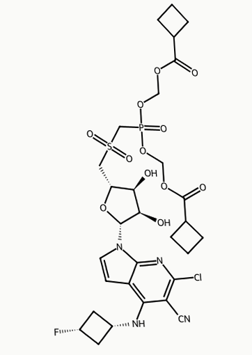 N#Cc1c(Cl)nc2c(ccn2[C@@H]2O[C@H](CS(=O)(=O)CP(=O)(OCOC(=O)C3CCC3)OCOC(=O)C3CCC3)[C@@H](O)[C@H]2O)c1N[C@H]1C[C@@H](F)C1